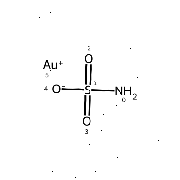 NS(=O)(=O)[O-].[Au+]